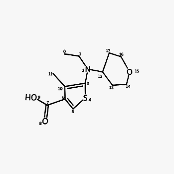 CCN(c1scc(C(=O)O)c1C)C1CCOCC1